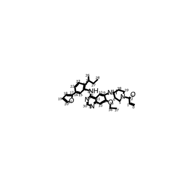 C=CC(=O)N1CCC(Nc2cc3c(Nc4cc(-c5ccco5)ccc4C(C)CC)ncnc3cc2OCC)CC1